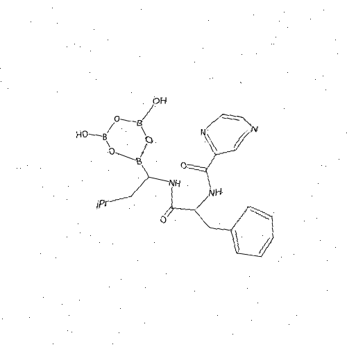 CC(C)CC(NC(=O)C(Cc1ccccc1)NC(=O)c1cnccn1)B1OB(O)OB(O)O1